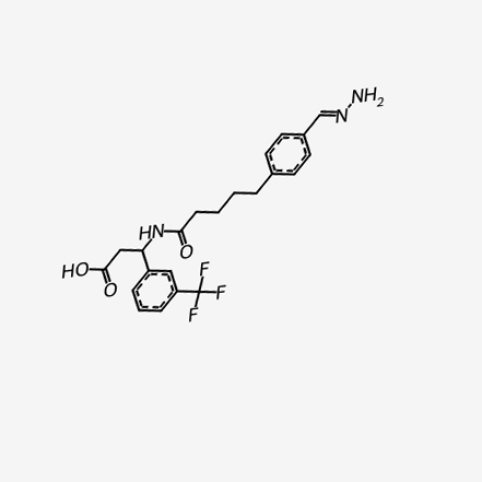 NN=Cc1ccc(CCCCC(=O)NC(CC(=O)O)c2cccc(C(F)(F)F)c2)cc1